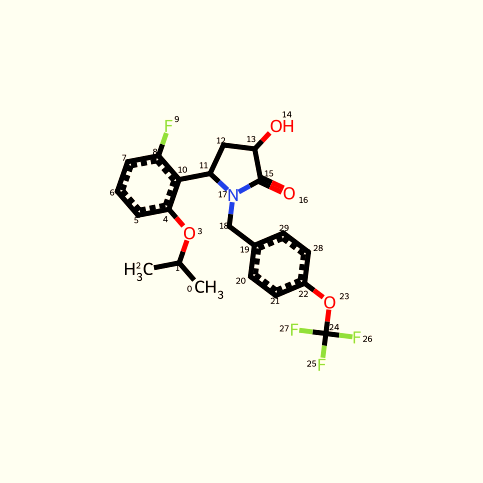 CC(C)Oc1cccc(F)c1C1CC(O)C(=O)N1Cc1ccc(OC(F)(F)F)cc1